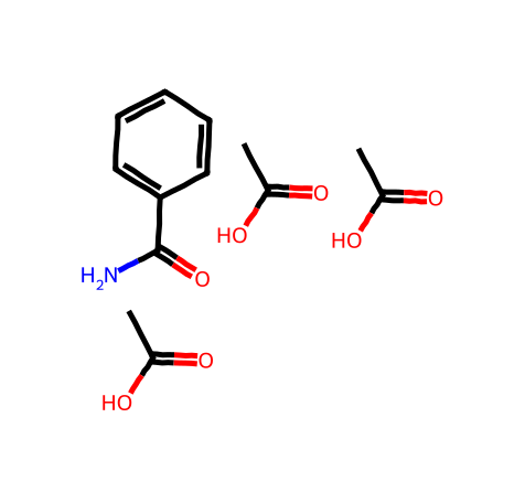 CC(=O)O.CC(=O)O.CC(=O)O.NC(=O)c1ccccc1